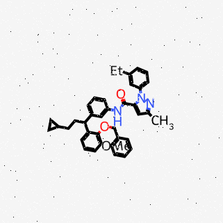 CCc1cccc(-n2nc(C)cc2C(=O)Nc2cccc(C(CCC3CC3)c3cccc(OC)c3OCc3ccccc3)c2)c1